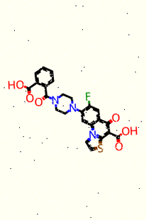 O=C(O)c1ccccc1C(=O)N1CCN(c2cc3c(cc2F)c(=O)c(C(=O)O)c2sccn23)CC1